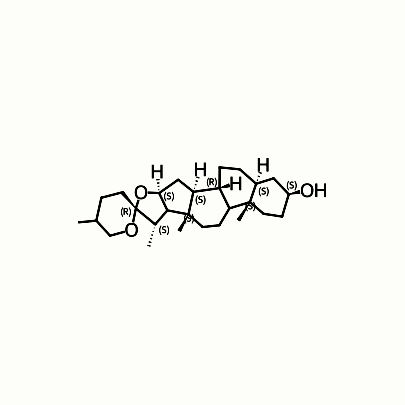 CC1CC[C@@]2(OC1)O[C@H]1C[C@H]3[C@@H]4CC[C@H]5C[C@@H](O)CC[C@]5(C)C4CC[C@]3(C)C1[C@@H]2C